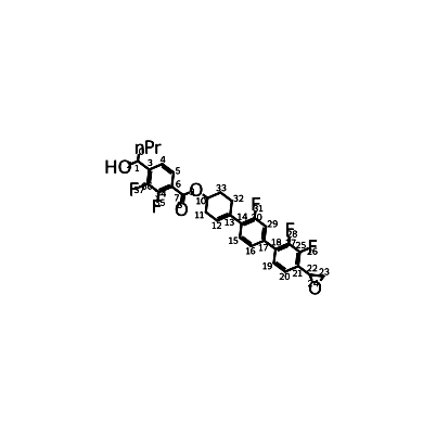 CCCC(O)c1ccc(C(=O)OC2CC=C(c3ccc(-c4ccc(C5CO5)c(F)c4F)cc3F)CC2)c(F)c1F